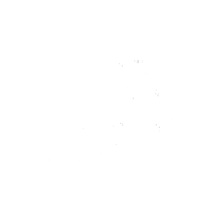 O=c1c2nccnc2c(-c2cn[nH]c2)cn1-c1ccc(OCF)cc1